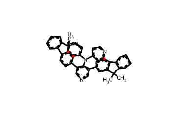 CC1(C)c2ccccc2-c2ccc(-c3cncc(-c4ccc5c(c4)C(C)(C)c4ccccc4-5)c3N(c3ccncc3)c3ccncc3)cc21